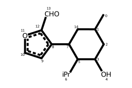 CC1CC(O)C(C(C)C)C(c2ccoc2C=O)C1